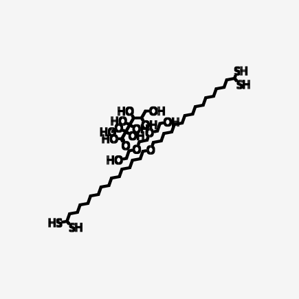 O=C(O)C(O)(OO)C(O)(O)C(O)C(O)CO.OCCOCCOCCO.SC(S)CCCCCCCCCCCCCCCOCCCCCCCCCCCCCCCC(S)S